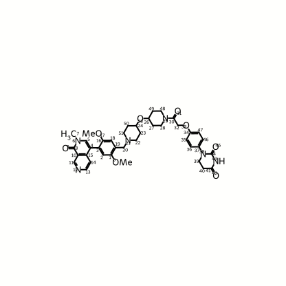 COc1cc(-c2cn(C)c(=O)c3cnccc23)c(OC)cc1CN1CCC(OC2CCN(C(=O)COc3ccc(N4CCC(=O)NC4=O)cc3)CC2)CC1